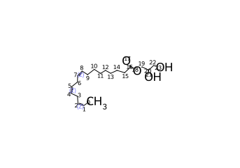 C/C=C\C/C=C\C/C=C\CCCCCCCC(=O)OCC(O)CO